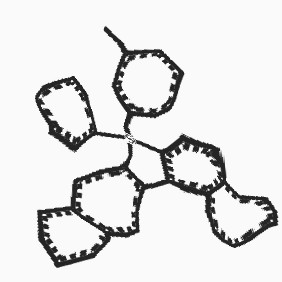 Cc1cccc([Si]2(c3ccccc3)c3cc4ccccc4cc3-c3c2ccc2ccccc32)c1